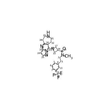 CN(CCc1cccc(C(F)(F)F)c1)C(=O)C1CN(c2c3c(nc4ccnn24)CCNCC3)C1